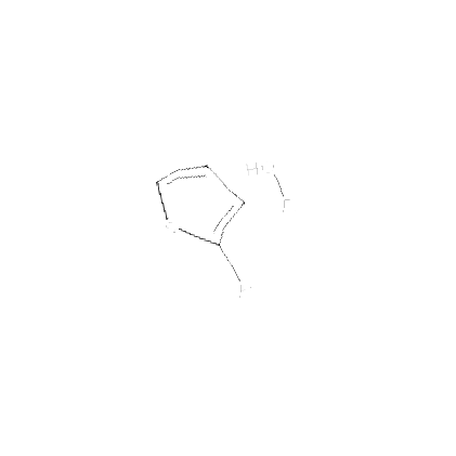 CCO.CCc1cccs1